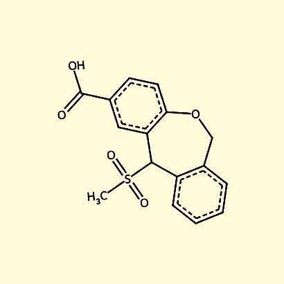 CS(=O)(=O)C1c2ccccc2COc2ccc(C(=O)O)cc21